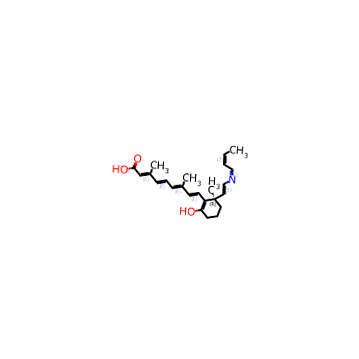 C\C=C/C=N\C=C\[C@@]1(C)CCCC(O)=C1/C=C/C(C)=C/C=C/C(C)=C/C(=O)O